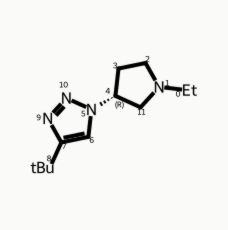 CCN1CC[C@@H](n2cc(C(C)(C)C)nn2)C1